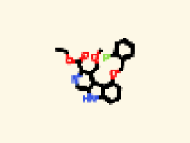 CCOC(=O)c1ncc2[nH]c3cccc(OCc4ccccc4F)c3c2c1COC